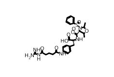 CC1OC(C)N(S(=O)(=O)c2ccccc2)[C@@H]1C(=O)N[C@@H](Cc1ccc(NC(=O)CCCC(=O)NC(=N)N)cc1)C(=O)O